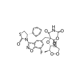 C[C@@H]1OOCN[C@H]1OC1(Cc2cc(F)c3onc(N4C(=O)SC[C@@H]4c4ccccc4)c3c2)C(=O)NC(=O)OC1=O